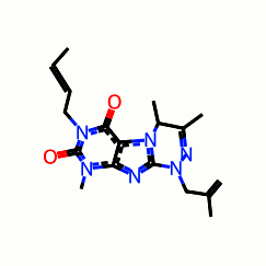 C=C(C)CN1N=C(C)C(C)n2c1nc1c2c(=O)n(C/C=C/C)c(=O)n1C